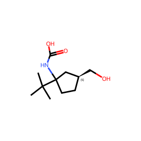 CC(C)(C)C1(NC(=O)O)CC[C@H](CO)C1